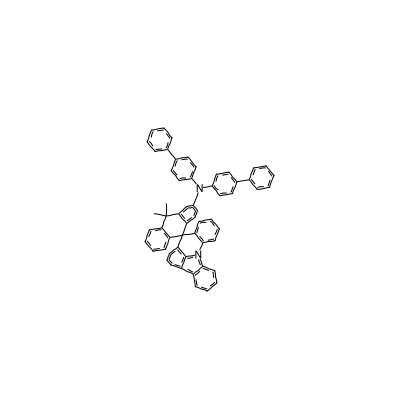 CC1(C)c2ccccc2C2(c3ccccc3-n3c4ccccc4c4cccc2c43)c2ccc(N(c3ccc(-c4ccccc4)cc3)c3ccc(-c4ccccc4)cc3)cc21